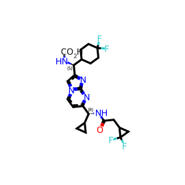 O=C(O)N[C@H](c1cn2ccc([C@H](NC(=O)CC3CC3(F)F)C3CC3)nc2n1)C1CCC(F)(F)CC1